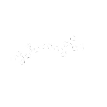 CC(C)c1cccc(-n2c3ccccc3c3ccc(N(c4ccccc4)c4ccc5c(c4)sc4cc6cc7sc8cc(N(c9ccccc9)c9ccc%10c%11ccccc%11n(-c%11cccc(C(C)C)c%11)c%10c9)ccc8c7cc6cc45)cc32)c1